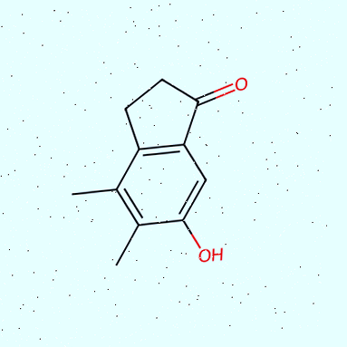 Cc1c(O)cc2c(c1C)CCC2=O